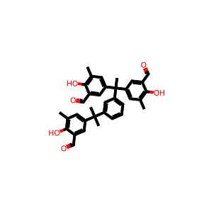 Cc1cc(C(C)(C)c2cccc(C(C)(c3cc(C)c(O)c(C=O)c3)c3cc(C)c(O)c(C=O)c3)c2)cc(C=O)c1O